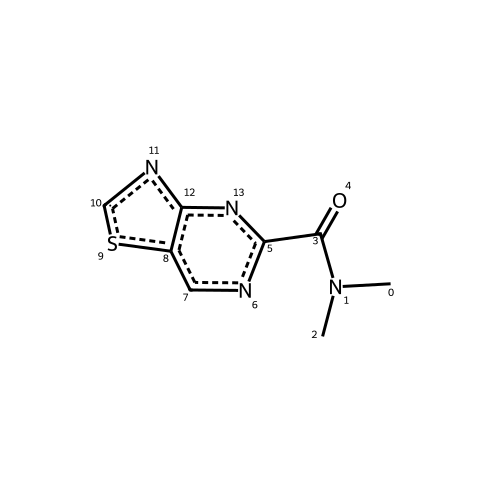 CN(C)C(=O)c1ncc2s[c]nc2n1